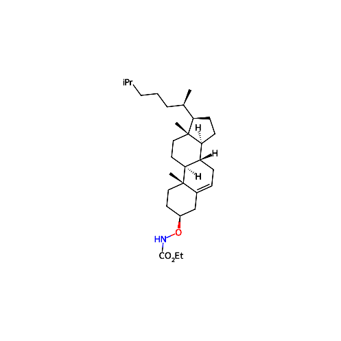 CCOC(=O)NO[C@H]1CC[C@@]2(C)C(=CC[C@H]3[C@@H]4CC[C@H]([C@H](C)CCCC(C)C)[C@@]4(C)CC[C@@H]32)C1